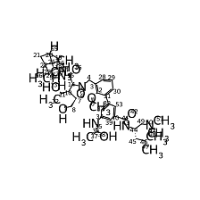 COc1c(CN2O[C@@H](CO)[C@@H]([C@H](C)O)[C@H]2C(=O)N[C@H]2C[C@H]3C[C@@H]([C@@H]2C)C3(C)C)cccc1-c1cc(NC(C)O)cc(C(=O)N[C@@H](CC(C)C)CN(C)C)c1